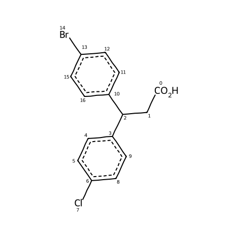 O=C(O)CC(c1ccc(Cl)cc1)c1ccc(Br)cc1